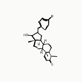 CN1C(=O)C=C[C@@]2(C)C1CC[C@@H]1[C@H]2CC[C@]2(C)C(O)C(Cc3ccc(F)cc3)C[C@@H]12